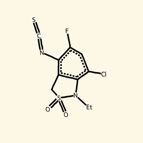 CCN1c2c(Cl)cc(F)c(N=C=S)c2CS1(=O)=O